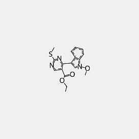 CCOC(=O)c1cnc(SC)nc1-c1cn(OC)c2ccccc12